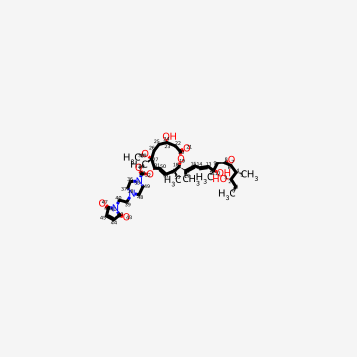 CC[C@H](O)[C@@H](C)[C@H]1O[C@@H]1C[C@@](C)(O)/C=C/C=C(\C)[C@H]1OC(=O)C[C@H](O)CC[C@@](C)(OC)[C@@H](OC(=O)N2CCN(CCN3C(=O)C=CC3=O)CC2)/C=C/[C@@H]1C